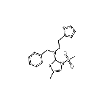 CC1=CN(S(C)(=O)=O)C(N(CCc2cccs2)Cc2ccccc2)S1